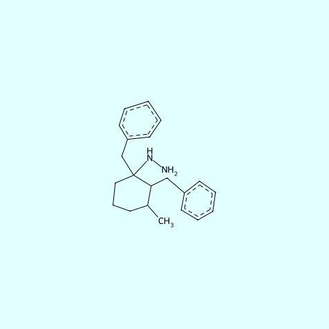 CC1CCCC(Cc2ccccc2)(NN)C1Cc1ccccc1